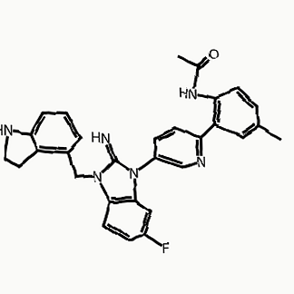 CC(=O)Nc1ccc(C)cc1-c1ccc(-n2c(=N)n(Cc3cccc4c3CCN4)c3ccc(F)cc32)cn1